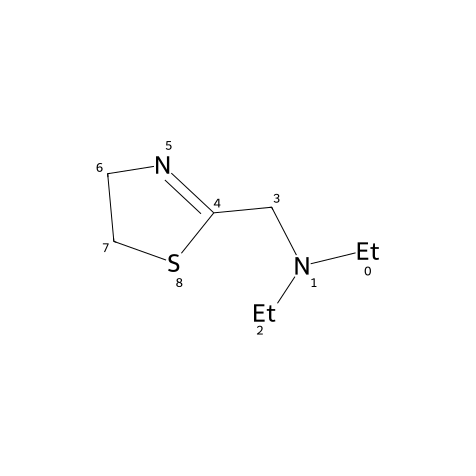 CCN(CC)CC1=NCCS1